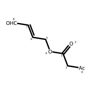 CC(=O)CC(=O)OC/C=C/C=O